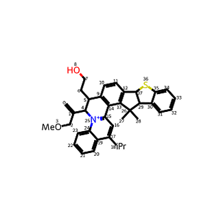 C=C(COC)C1C(CCO)c2ccc3c(c2-c2cc(C(C)C)c4ccccc4[n+]21)C(C)(C)C1c2ccccc2SC31